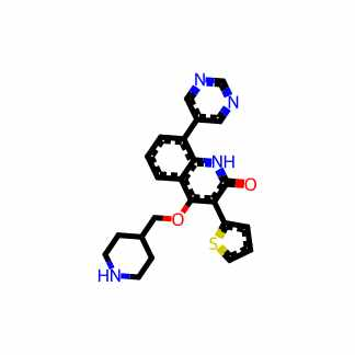 O=c1[nH]c2c(-c3cncnc3)cccc2c(OCC2CCNCC2)c1-c1cccs1